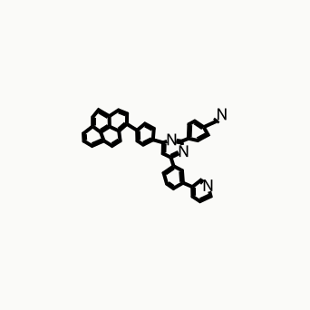 N#Cc1ccc(-c2nc(-c3ccc(-c4ccc5ccc6cccc7ccc4c5c67)cc3)cc(-c3cccc(-c4cccnc4)c3)n2)cc1